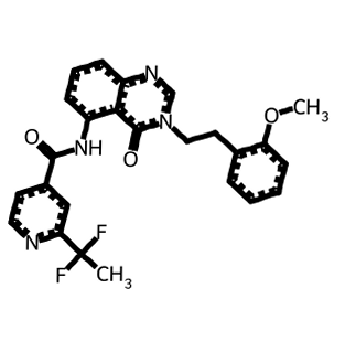 COc1ccccc1CCn1cnc2cccc(NC(=O)c3ccnc(C(C)(F)F)c3)c2c1=O